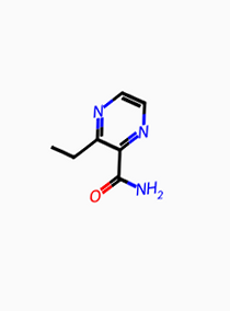 CCc1nccnc1C(N)=O